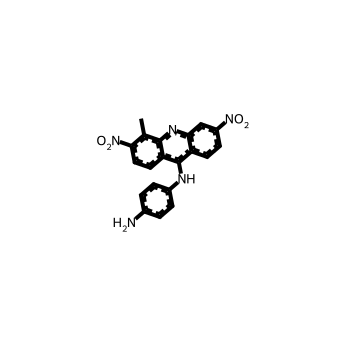 Cc1c([N+](=O)[O-])ccc2c(Nc3ccc(N)cc3)c3ccc([N+](=O)[O-])cc3nc12